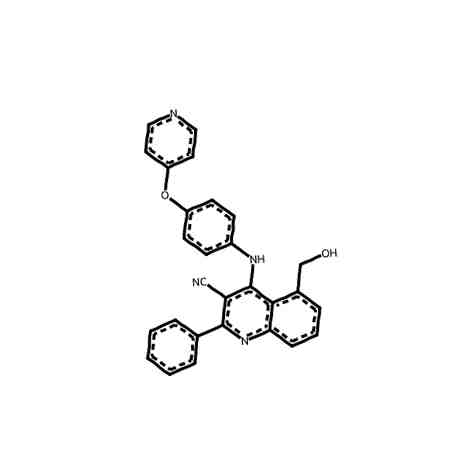 N#Cc1c(-c2ccccc2)nc2cccc(CO)c2c1Nc1ccc(Oc2ccncc2)cc1